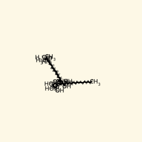 CCCCCCCCCCCCCCC(O)C(O)C(CO[C@H]1O[C@H](CO)[C@H](O)[C@H](O)[C@H]1O)NC(=O)CCCCCCCCCCCNC(=O)C(C)(C)C